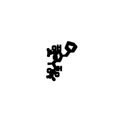 C[C@@H](/C=C/[C@H](Cc1ccccc1)NS(=O)(=O)N(C)C)NS(=O)(=O)N(C)C